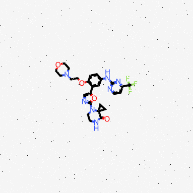 O=C1NCCN(c2ncc(-c3cc(Nc4nccc(C(F)(F)F)n4)ccc3OCCN3CCOCC3)o2)C12CC2